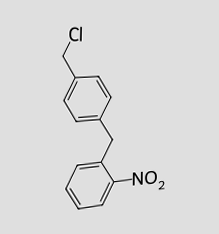 O=[N+]([O-])c1ccccc1Cc1ccc(CCl)cc1